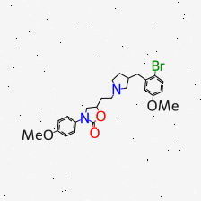 COc1ccc(N2CC(CCN3CCC(Cc4cc(OC)ccc4Br)C3)OC2=O)cc1